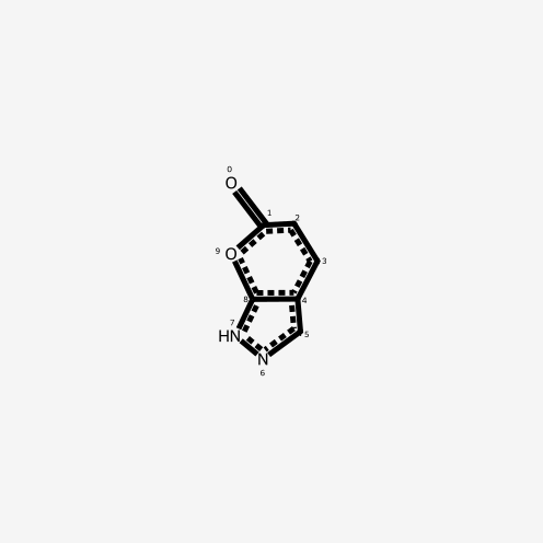 O=c1ccc2[c]n[nH]c2o1